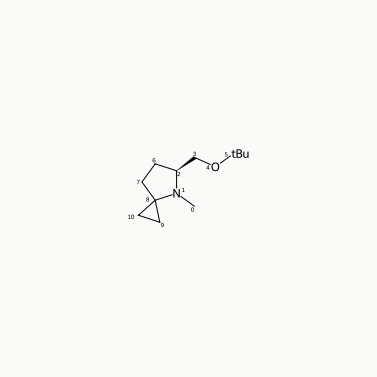 CN1[C@H](COC(C)(C)C)CCC12CC2